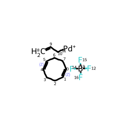 C1=C\CC/C=C\CC/1.C=C[CH2][Pd+].F[B-](F)(F)F